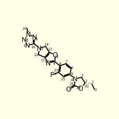 CC[C@H]1CN(c2ccc(-c3nc4c(o3)CN(c3nnn(C)n3)C4)c(F)c2)C(=O)O1